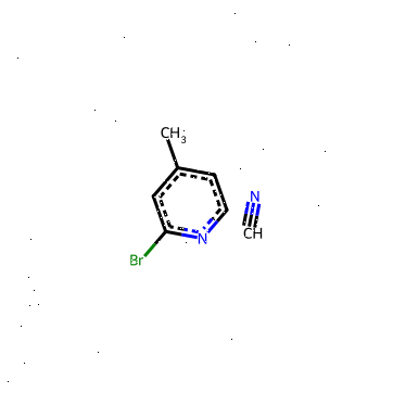 C#N.Cc1ccnc(Br)c1